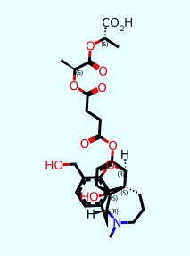 C[C@H](OC(=O)[C@H](C)OC(=O)CCC(=O)OC1=CC[C@@]2(O)[C@H]3Cc4ccc(CO)c5c4[C@@]2(CCCN3C)[C@H]1O5)C(=O)O